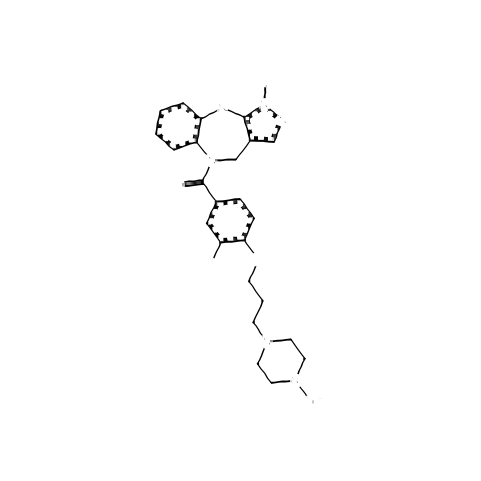 CCCN1CCN(CCCOc2ccc(C(=O)N3Cc4cnn(C)c4Nc4ccccc43)cc2F)CC1